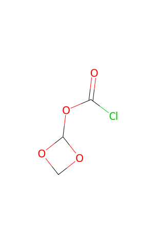 O=C(Cl)OC1OCO1